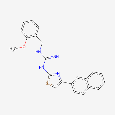 COc1ccccc1CNC(=N)Nc1nc(-c2ccc3ccccc3c2)cs1